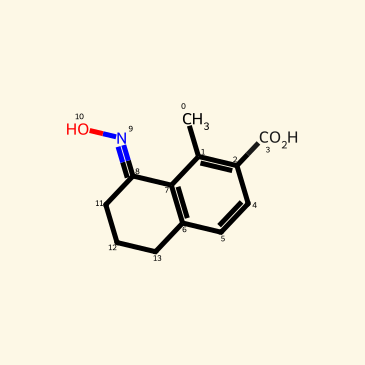 Cc1c(C(=O)O)ccc2c1C(=NO)CCC2